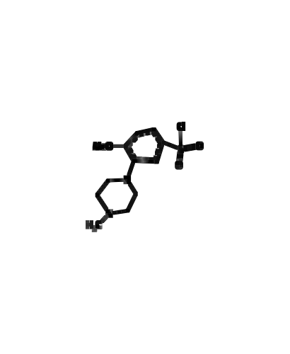 COc1ccc(S(=O)(=O)Cl)cc1N1CCN(C)CC1